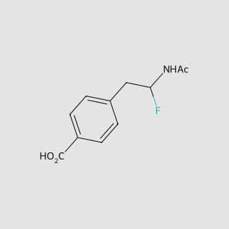 CC(=O)NC(F)Cc1ccc(C(=O)O)cc1